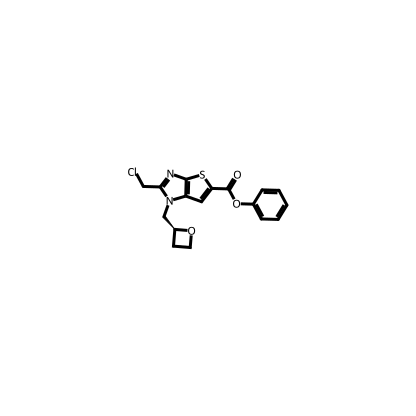 O=C(Oc1ccccc1)c1cc2c(nc(CCl)n2C[C@@H]2CCO2)s1